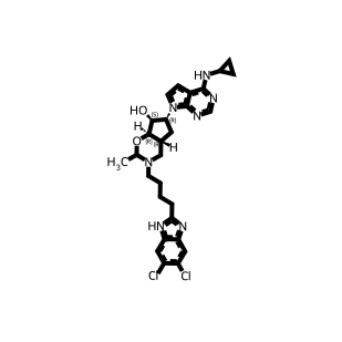 CC1O[C@@H]2[C@H](C[C@@H](n3ccc4c(NC5CC5)ncnc43)[C@@H]2O)CN1CCCCc1nc2cc(Cl)c(Cl)cc2[nH]1